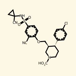 N#Cc1cc(S(=O)(=O)NC2(C#N)CC2)ccc1OC[C@@H]1CN(C(=O)O)CC[C@H]1c1ccc(Cl)cc1